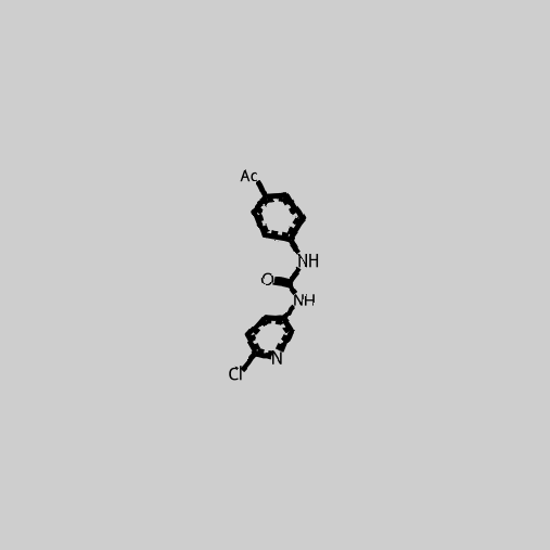 CC(=O)c1ccc(NC(=O)Nc2ccc(Cl)nc2)cc1